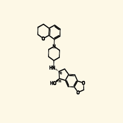 O[C@@H]1c2cc3c(cc2C[C@H]1NC1CCN(c2cccc4c2OCCC4)CC1)OCO3